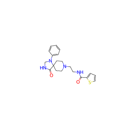 O=C(NCCN1CCC2(CC1)C(=O)NCN2c1ccccc1)c1cccs1